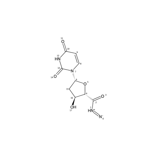 [N-]=[NH+]C(=O)[C@H]1O[C@@H](n2ccc(=O)[nH]c2=O)C[C@@H]1O